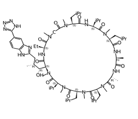 CC[C@@H]1NC(=O)[C@H]([C@H](O)[C@H](C)Cc2nc3cc(-c4nnn[nH]4)ccc3[nH]2)N(C)C(=O)[C@H](C(C)C)N(C)C(=O)[C@H](CC(C)C)N(C)C(=O)[C@H](CC(C)C)N(C)C(=O)[C@@H](C)NC(=O)[C@H](C)NC(=O)[C@H](CC(C)C)N(C)C(=O)[C@H](C(C)C)NC(=O)[C@H](CC(C)C)N(C)C(=O)CN(C)C1=O